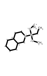 CC[Si](OC)(OC)N1CCC2CCCCC2C1